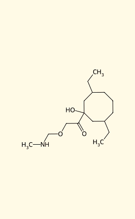 CCC1CCCC(CC)CC(O)(C(=O)COCNC)C1